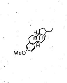 CC=C1CC[C@H]2[C@@H]3CCc4cc(OC)ccc4[C@H]3CC[C@]12C